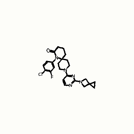 O=C1CCCC2(CCN(c3ccnc(N4CC5(CC5)C4)n3)CC2)N1c1ccc(Cl)c(F)c1